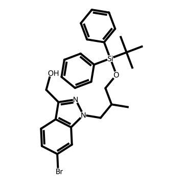 CC(CO[Si](c1ccccc1)(c1ccccc1)C(C)(C)C)Cn1nc(CO)c2ccc(Br)cc21